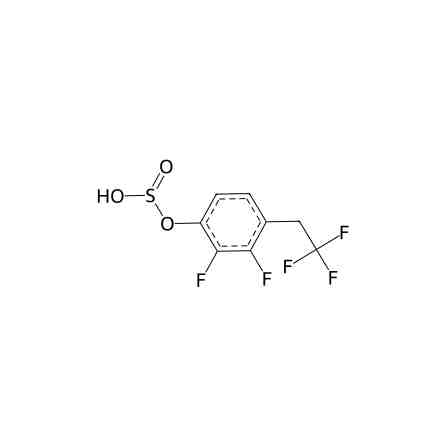 O=S(O)Oc1ccc(CC(F)(F)F)c(F)c1F